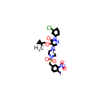 CC1(COc2c(N3CCN(S(=O)(=O)Cc4ccc(I)c([N+](=O)[O-])c4)CC3)cnn(-c3cccc(Cl)c3)c2=O)CC1